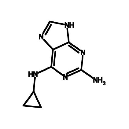 Nc1nc(NC2CC2)c2nc[nH]c2n1